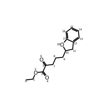 CCOC(=O)C(=O)CCCC1Cc2ccccc2O1